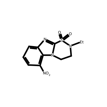 CCN1CCn2c(nc3cccc([N+](=O)[O-])c32)S1(=O)=O